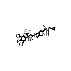 Fc1c(Cl)cc(C2(C(F)(F)F)CC(N3Cc4cnc(C(=S)NCC5CC5)cc4C3)=NO2)cc1Cl